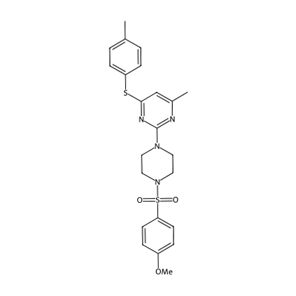 COc1ccc(S(=O)(=O)N2CCN(c3nc(C)cc(Sc4ccc(C)cc4)n3)CC2)cc1